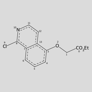 CCOC(=O)COc1cccc2c(Cl)nccc12